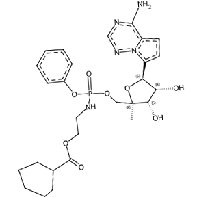 C[C@]1(COP(=O)(NCCOC(=O)C2CCCCC2)Oc2ccccc2)O[C@@H](c2ccc3c(N)ncnn23)[C@H](O)[C@@H]1O